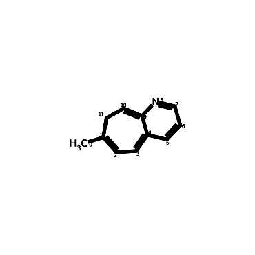 CC1=CC=c2cccnc2=CC1